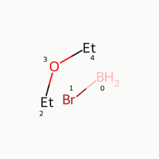 BBr.CCOCC